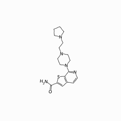 NC(=O)c1cc2ccnc(N3CCN(CCN4CCCC4)CC3)c2s1